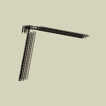 Cl.Cl.Cl.Cl.Cl.Cl.Cl.[Zn+2].[Zn+2].[Zn+2].[Zn+2].[Zn+2].[Zn+2].[Zn+2].[Zn+2].[Zn+2].[Zn+2].[Zn+2].[Zn+2].[Zn+2].[Zn+2].[Zn+2].[Zn+2].[Zn+2].[Zn+2].[Zn+2].[Zn+2].[Zn+2].[Zn+2].[Zn+2].[Zn+2].[Zn+2].[Zn+2].[Zn+2].[Zn+2].[Zn+2].[Zn+2].[Zn+2].[Zn+2].[Zn+2].[Zn+2].[Zn+2].[Zn+2].[Zn+2].[Zn+2].[Zn+2].[Zn+2].[Zn+2].[Zn+2].[Zn+2].[Zn+2].[Zn+2].[Zn+2].[Zn+2].[Zn+2].[Zn+2].[Zn+2].[Zn+2].[Zn+2].[Zn+2].[Zn+2].[Zn+2].[Zn+2].[Zn+2].[Zn+2].[Zn+2].[Zn+2].[Zn+2].[Zn+2]